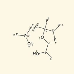 CC(O)COC(F)(C(F)F)C(F)(F)F.OP(F)F